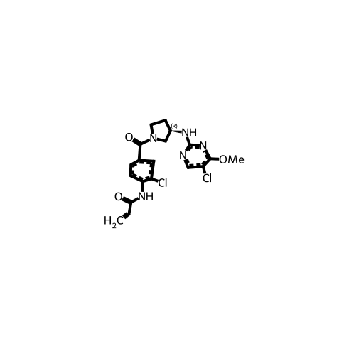 C=CC(=O)Nc1ccc(C(=O)N2CC[C@@H](Nc3ncc(Cl)c(OC)n3)C2)cc1Cl